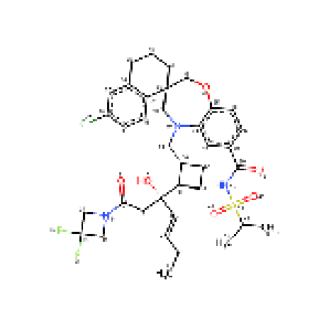 CC/C=C/[C@@](O)(CC(=O)N1CC(F)(F)C1)[C@@H]1CC[C@H]1CN1C[C@@]2(CCCc3cc(Cl)ccc32)COc2ccc(C(=O)NS(=O)(=O)C(C)C)cc21